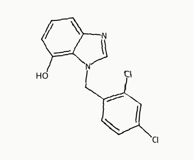 Oc1cccc2ncn(Cc3ccc(Cl)cc3Cl)c12